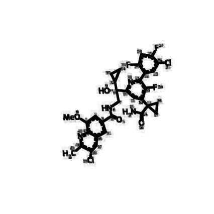 COc1cc(C(=O)NC[C@](O)(c2cc(C3(C(N)=O)CC3)c(F)c(-c3cc(Cl)c(F)cc3F)n2)C2CC2)cc2cc(Cl)c(C)nc12